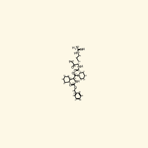 N=C(N)NCCC[C@H](NC(=O)[C@@H]1CCCCN1C(=O)C(NC(=O)OCc1ccccc1)C1CCCCC1)C(=O)CF